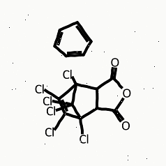 O=C1OC(=O)C2C1C1(Cl)C(Cl)=C(Cl)C2(Cl)C1(Cl)Cl.c1ccccc1